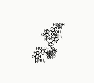 C[C@@H]1CC(COP(=O)(O)OP(=O)(O)OP(=O)(O)OCC2OC(n3c[n+](C)c4c(=O)[nH]c(N)nc43)C(O)C2O)OC1n1c(Nc2nc3c(ncn3C3OC(COP(=O)(O)O)[C@@H](O)[C@H]3O)c(=O)[nH]2)nc2c(N)ncnc21